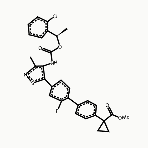 COC(=O)C1(c2ccc(-c3ccc(-c4snc(C)c4NC(=O)O[C@H](C)c4ccccc4Cl)cc3F)cc2)CC1